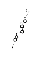 COCCOCOc1ccc2cc(C(=O)N(C)Cc3cccc(-c4ccc(Nc5cccc(C(=O)NCCN6CCOCC6)c5)cc4)c3)ccc2c1